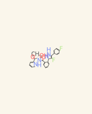 COC(c1ccccn1)[C@H](CO)NC(=O)c1ccccc1-c1n[nH]c(-c2ccc(F)cc2)c1F